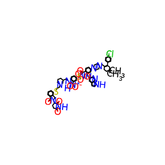 CC1(C)CCC(CN2CCN(c3ccc(C(=O)NS(=O)(=O)c4ccc(NCC5CCCN(CCSc6cccc7c6CN(C6CCC(=O)NC6=O)C7=O)C5)c([N+](=O)[O-])c4)c(Oc4cnc5[nH]ccc5c4)c3)CC2)=C(c2ccc(Cl)cc2)C1